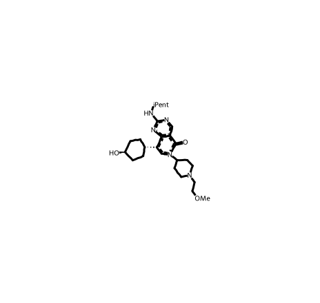 CCCC(C)Nc1ncc2c(=O)n(C3CCN(CCOC)CC3)cc([C@H]3CC[C@H](O)CC3)c2n1